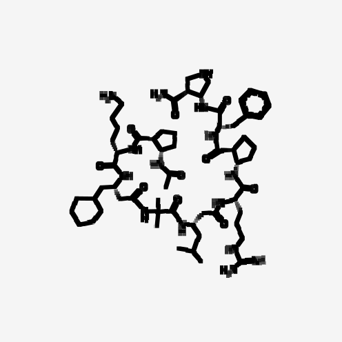 CC(=O)N[C@H]1CCC[C@@H]1C(=O)N[C@@H](CCCCN)C(=O)N[C@H](CC(=O)NC(C)(C)C(=O)N[C@H](CC(=O)N[C@@H](CCCNC(=N)N)C(=O)N[C@H]1CCC[C@@H]1C(=O)N[C@@H](Cc1ccccc1)C(=O)N[C@H]1CNC[C@@H]1C(N)=O)CC(C)C)CC1CCCCC1